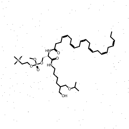 CC/C=C\C/C=C\C/C=C\C/C=C\C/C=C\C/C=C\CCC(=O)N[C@@H](COP(=O)(OC)OCC[N+](C)(C)C)C(=O)NCCCCC(CO)COC(C)C